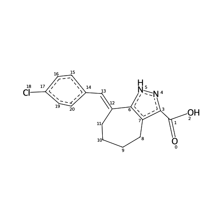 O=C(O)c1n[nH]c2c1CCCC/C2=C\c1ccc(Cl)cc1